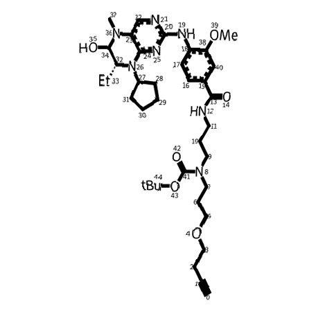 C#CCCOCCCN(CCCNC(=O)c1ccc(Nc2ncc3c(n2)N(C2CCCC2)[C@H](CC)C(O)N3C)c(OC)c1)C(=O)OC(C)(C)C